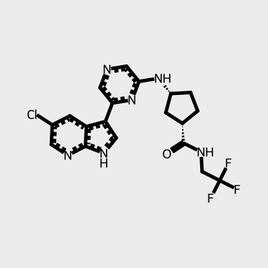 O=C(NCC(F)(F)F)[C@H]1CC[C@@H](Nc2cncc(-c3c[nH]c4ncc(Cl)cc34)n2)C1